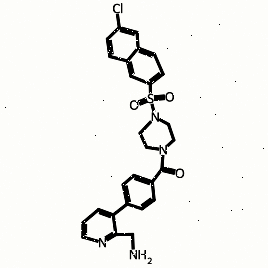 NCc1ncccc1-c1ccc(C(=O)N2CCN(S(=O)(=O)c3ccc4cc(Cl)ccc4c3)CC2)cc1